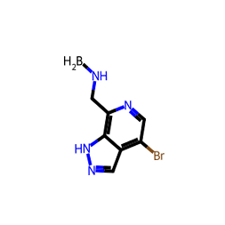 BNCc1ncc(Br)c2cn[nH]c12